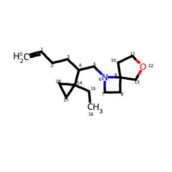 C=CCCC(CN1CCC12CCOC2)C1(CC)CC1